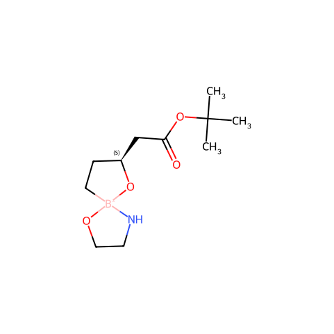 CC(C)(C)OC(=O)C[C@@H]1CC[B-]2(NCCO2)O1